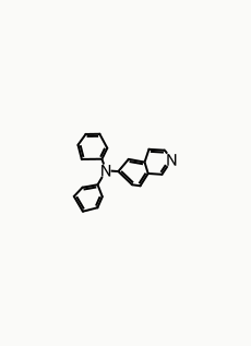 c1ccc(N(c2ccccc2)c2ccc3cnccc3c2)cc1